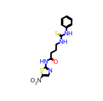 O=C(CCCNC(=S)Nc1ccccc1)Nc1ncc([N+](=O)[O-])s1